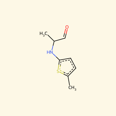 Cc1ccc(NC(C)C=O)s1